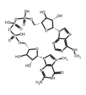 CNc1ncnc2c1ncn2[C@@H]1O[C@H](COP(=O)(O)OP(=O)(O)OP(=O)(O)OC[C@@H]2O[C@H](n3c[n+](C)c4c(=O)[nH]c(N)nc43)[C@H](O)C2O)C(O)[C@@H]1O